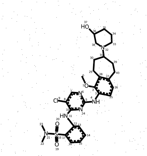 COc1c(Nc2ncc(Cl)c(Nc3ccccc3S(=O)(=O)N(C)C)n2)ccc2c1CCC(N1CCCC(O)C1)CC2